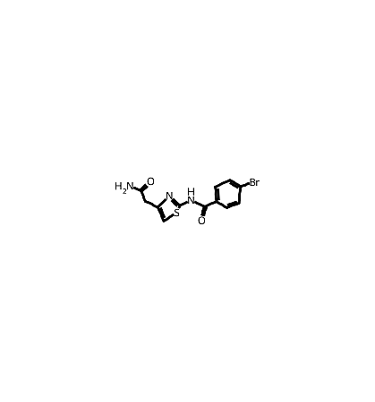 NC(=O)Cc1csc(NC(=O)c2ccc(Br)cc2)n1